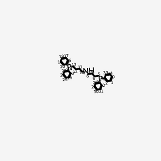 c1ccc(P(CCCCNCCCCP(c2ccccc2)c2ccccc2)c2ccccc2)cc1